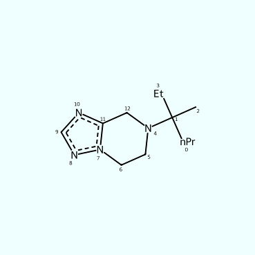 CCCC(C)(CC)N1CCn2ncnc2C1